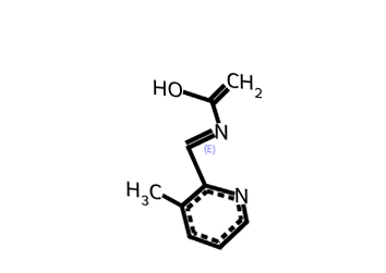 C=C(O)/N=C/c1ncccc1C